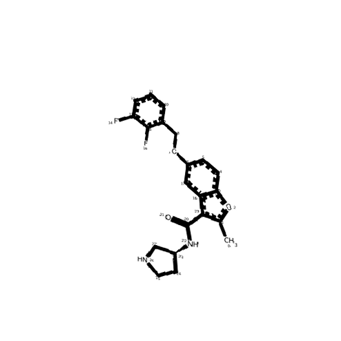 Cc1oc2ccc(OCc3cccc(F)c3F)cc2c1C(=O)N[C@H]1CCNC1